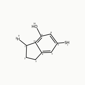 [2H]C1CCc2cc(S)cc(O)c21